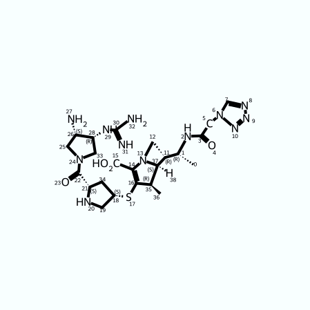 C[C@@H](NC(=O)Cn1cnnn1)[C@H]1CN2C(C(=O)O)=C(S[C@@H]3CN[C@H](C(=O)N4C[C@H](N)[C@H](NC(=N)N)C4)C3)[C@H](C)[C@H]12